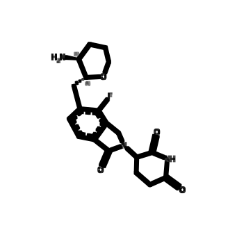 N[C@H]1CCCO[C@@H]1Cc1ccc2c(c1F)CN(C1CCC(=O)NC1=O)C2=O